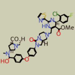 COC(=O)C1=C(CN2CCN3C(=O)N(c4ccc(Oc5ccc(C(O)N(C)[C@H]6C[C@H](C(=O)O)N(C)C6)cc5)cc4)C[C@@H]3C2)NC(c2nccs2)=N[C@H]1c1ccc(F)cc1Cl